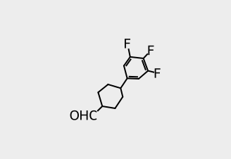 O=CC1CCC(c2cc(F)c(F)c(F)c2)CC1